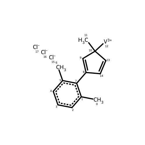 Cc1cccc(C)c1C1=C[C](C)([V+3])C=C1.[Cl-].[Cl-].[Cl-]